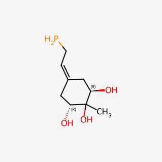 CC1(O)[C@H](O)CC(=CCP)C[C@H]1O